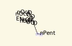 CCCCC/C=C\C/C=C\CCCCCCCCC(=O)OC[C@@H](COC(=O)CCC(OCCCCCCCC)OCCCCCCCC)COC(=O)OCCCCN(CC)CCCC